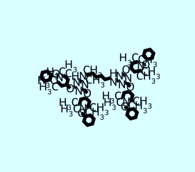 CC(C)(CCCCCNc1nc(OC2CC(C)(C)N(OC3CCCCC3)C(C)(C)C2)nc(OC2CC(C)(C)N(OC3CCCCC3)C(C)(C)C2)n1)Nc1nc(OC2CC(C)(C)N(OC3CCCCC3)C(C)(C)C2)nc(OC2CC(C)(C)N(OC3CCCCC3)C(C)(C)C2)n1